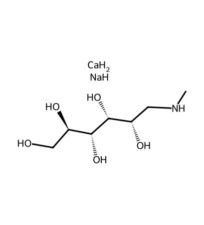 CNC[C@H](O)[C@@H](O)[C@H](O)[C@H](O)CO.[CaH2].[NaH]